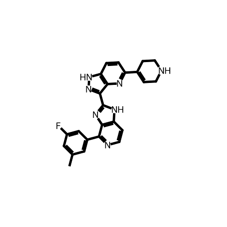 Cc1cc(F)cc(-c2nccc3[nH]c(-c4n[nH]c5ccc(C6=CCNCC6)nc45)nc23)c1